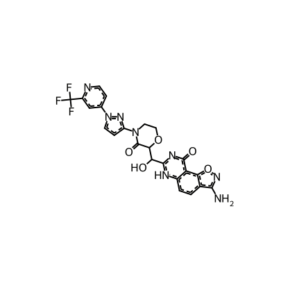 Nc1noc2c1ccc1[nH]c(C(O)C3OCCN(c4ccn(-c5ccnc(C(F)(F)F)c5)n4)C3=O)nc(=O)c12